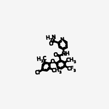 Cc1cc(Cl)cc(C)c1Oc1ccc(C(F)(F)F)c(C)c1C(=O)Nc1ccnc(C(N)=O)c1